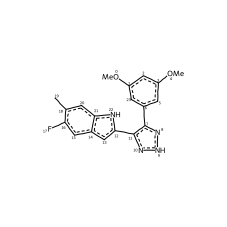 COc1cc(OC)cc(-c2n[nH]nc2-c2cc3cc(F)c(C)cc3[nH]2)c1